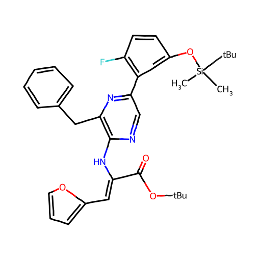 CC(C)(C)OC(=O)/C(=C/c1ccco1)Nc1ncc(-c2cc(O[Si](C)(C)C(C)(C)C)ccc2F)nc1Cc1ccccc1